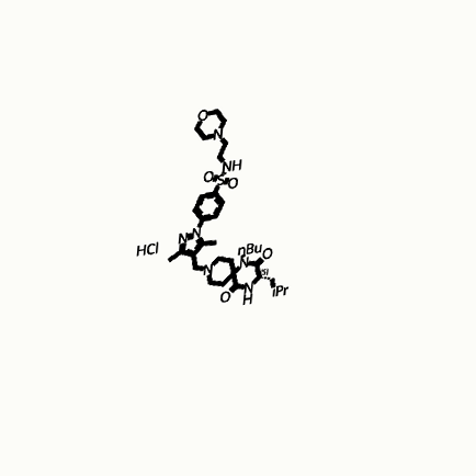 CCCCN1C(=O)[C@H](CC(C)C)NC(=O)C12CCN(Cc1c(C)nn(-c3ccc(S(=O)(=O)NCCN4CCOCC4)cc3)c1C)CC2.Cl